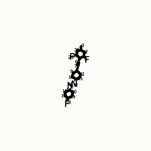 Cc1cc(F)c(C#Cc2ccc(N=Nc3ccc(F)cc3)cc2)c(F)c1